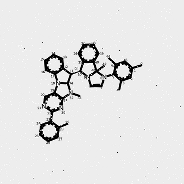 Cc1cc(C)c(N2C=CN3[C@@H](C4c5ccccc5N5c6cnc(-c7ccccc7C)nc6N(C)C45)c4ccccc4C23C)c(C)c1